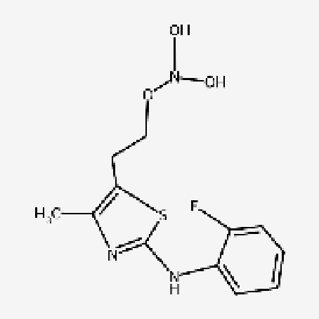 Cc1nc(Nc2ccccc2F)sc1CCON(O)O